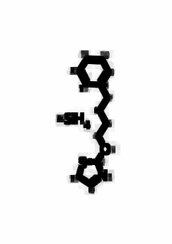 C1=NC(OCCCCc2ccccc2)SC1.[SiH4]